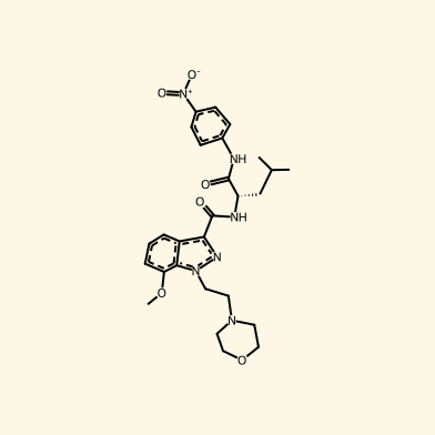 COc1cccc2c(C(=O)N[C@@H](CC(C)C)C(=O)Nc3ccc([N+](=O)[O-])cc3)nn(CCN3CCOCC3)c12